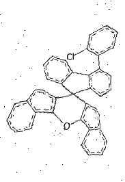 Clc1ccccc1-c1cccc2c1-c1ccccc1C21c2ccc3ccccc3c2Oc2c1ccc1ccccc21